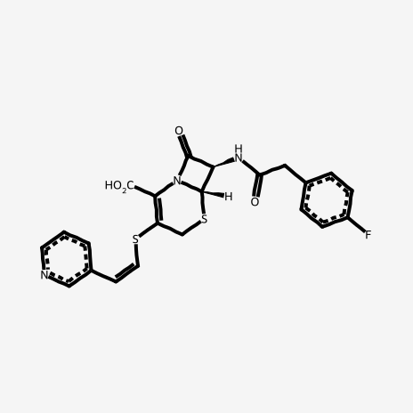 O=C(Cc1ccc(F)cc1)N[C@@H]1C(=O)N2C(C(=O)O)=C(S/C=C\c3cccnc3)CS[C@@H]12